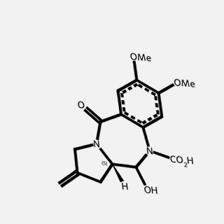 C=C1C[C@H]2C(O)N(C(=O)O)c3cc(OC)c(OC)cc3C(=O)N2C1